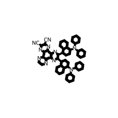 N#Cc1nc2c3nccnc3c3nc(-c4ccc(N(c5ccccc5)c5ccccc5)c5ccccc45)c(-c4ccc(N(c5ccccc5)c5ccccc5)c5ccccc45)nc3c2nc1C#N